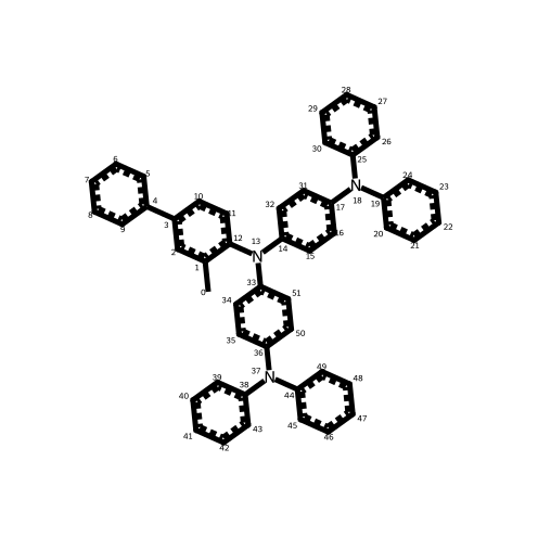 Cc1cc(-c2ccccc2)ccc1N(c1ccc(N(c2ccccc2)c2ccccc2)cc1)c1ccc(N(c2ccccc2)c2ccccc2)cc1